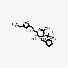 CCc1cc(CNC[C@@H](O)[C@H](Cc2ccccc2)N(C(=O)O)C(C)(C)C)on1